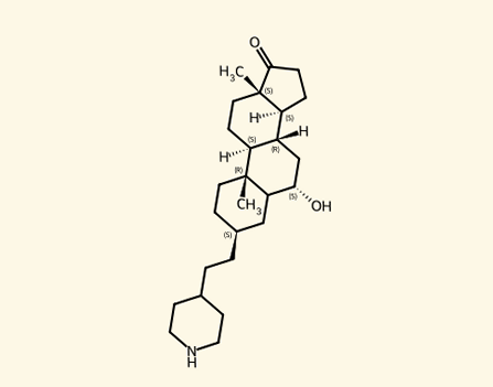 C[C@]12CC[C@H](CCC3CCNCC3)CC1[C@@H](O)C[C@@H]1[C@@H]2CC[C@]2(C)C(=O)CC[C@@H]12